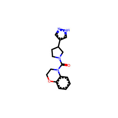 O=C(N1CCC(c2cn[nH]c2)C1)N1CCOc2ccccc21